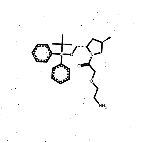 C[C@@H]1C[C@@H](CO[Si](c2ccccc2)(c2ccccc2)C(C)(C)C)N(C(=O)COCCN)C1